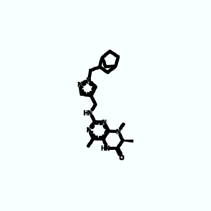 Cc1nc(NCc2cnn(CC3CC4CCC3C4)c2)nc2c1NC(=O)[C@H](C)N2C